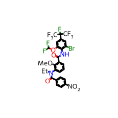 CCN(C(=O)c1ccc([N+](=O)[O-])cc1)c1cccc(C(=O)Nc2c(Br)cc(C(F)(C(F)(F)F)C(F)(F)F)cc2OC(F)F)c1OC